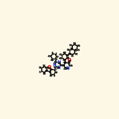 c1ccc(-c2nc(-c3cccc4c3oc3ccccc34)nc(-c3cncc4oc5c(-c6ccc7ccccc7c6)cccc5c34)n2)cc1